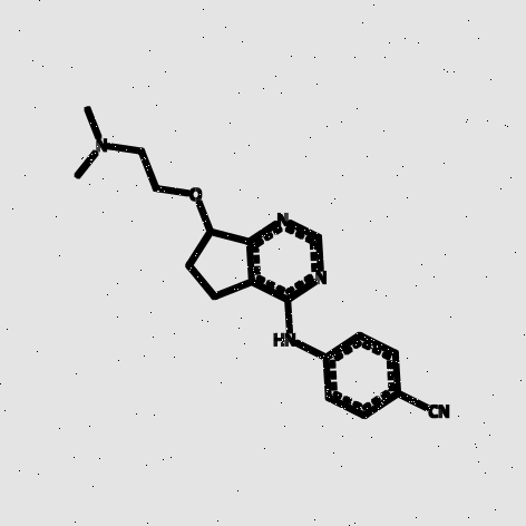 CN(C)CCOC1CCc2c(Nc3ccc(C#N)cc3)ncnc21